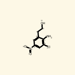 Nc1c(Cl)cc([N+](=O)[O-])cc1CCO